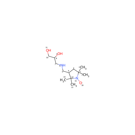 CC1(C)CC(CNCC(O)CO)C(C)(C)N1[O]